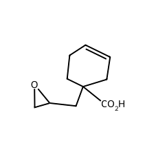 O=C(O)C1(CC2CO2)CC=CCC1